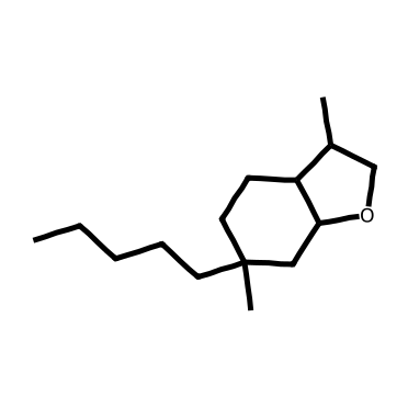 CCCCCC1(C)CCC2C(C)COC2C1